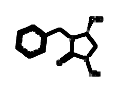 CCCCN1C[C@@H](C=O)N(Cc2ccccc2)C1=O